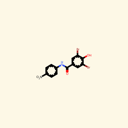 O=C(Nc1ccc([N+](=O)[O-])cc1)c1cc(Br)c(O)c(Br)c1